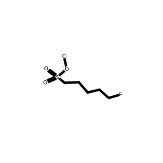 O=S(=O)(CCCCCF)OCl